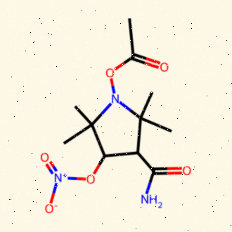 CC(=O)ON1C(C)(C)C(O[N+](=O)[O-])C(C(N)=O)C1(C)C